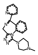 CN1CCN(c2nnc3n2-c2ccccc2C(c2ccccn2)=NC3)CC1